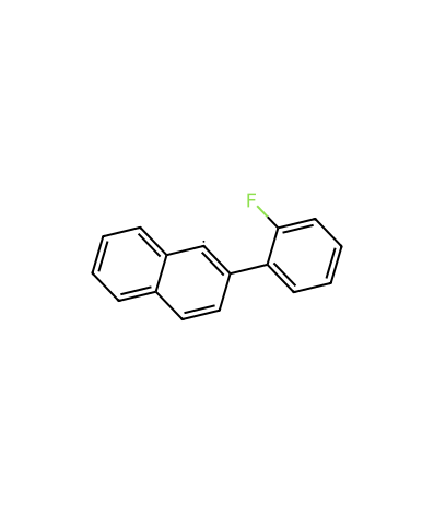 Fc1ccccc1-c1[c]c2ccccc2cc1